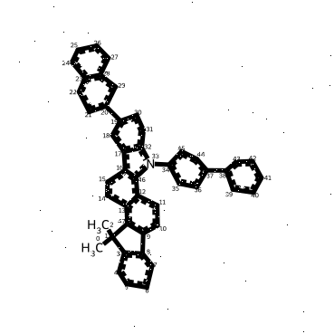 CC1(C)c2ccccc2-c2ccc3c(ccc4c5cc(-c6ccc7ccccc7c6)ccc5n(-c5ccc(-c6ccccc6)cc5)c34)c21